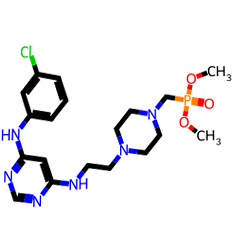 COP(=O)(CN1CCN(CCNc2cc(Nc3cccc(Cl)c3)ncn2)CC1)OC